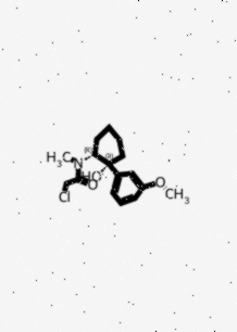 COc1cccc([C@]2(O)CCCC[C@H]2N(C)C(=O)CCl)c1